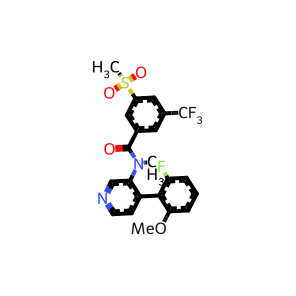 COc1cccc(F)c1-c1ccncc1N(C)C(=O)c1cc(C(F)(F)F)cc(S(C)(=O)=O)c1